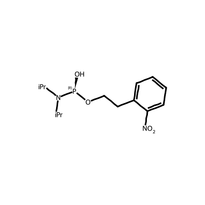 CC(C)N(C(C)C)[P@@](O)OCCc1ccccc1[N+](=O)[O-]